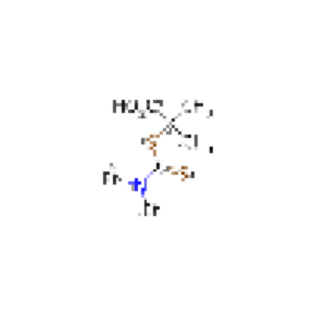 CCN(CC)C(=S)SC(C)(C)C(=O)O